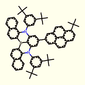 CC(C)(C)c1cc(N2c3cc(-c4cc5ccc6ccc(C(C)(C)C)c7ccc(c4)c5c67)cc4c3B(c3ccc5ccccc5c32)c2ccc3ccccc3c2N4c2cc(C(C)(C)C)cc(C(C)(C)C)c2)cc(C(C)(C)C)c1